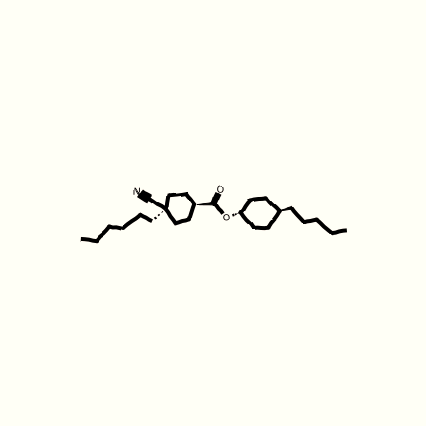 CCCCCC[C@]1(C#N)CC[C@@H](C(=O)O[C@H]2CC[C@H](CCCCC)CC2)CC1